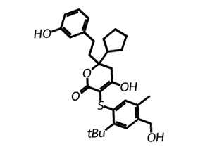 Cc1cc(SC2=C(O)CC(CCc3cccc(O)c3)(C3CCCC3)OC2=O)c(C(C)(C)C)cc1CO